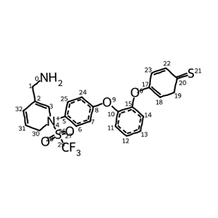 NCC1=C[N+](c2ccc(Oc3ccccc3OC3=CCC(=S)C=C3)cc2)(S(=O)(=O)C(F)(F)F)CC=C1